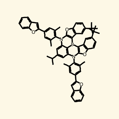 Cc1cc(-c2cc3ccccc3o2)cc(C)c1N1c2cc(C(C)C)cc3c2B(c2c1oc1ccc(C(C)(C)C)cc21)c1c(oc2ccc(C(C)(C)C)cc12)N3c1c(C)cc(-c2cc3ccccc3o2)cc1C